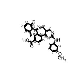 COc1cccc(Nc2ncc3c(n2)-c2ccc(C(=O)O)cc2C(c2c(F)cccc2F)=NC3)c1